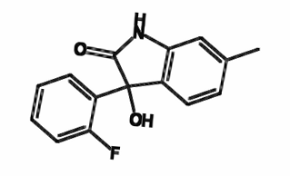 Cc1ccc2c(c1)NC(=O)C2(O)c1ccccc1F